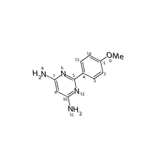 COc1ccc(-c2nc(N)cc(N)n2)cc1